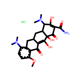 COc1ccc(N(C)C)c2c1C(=O)C1=C(O)C3(O)C(=O)C(C(N)=O)=C(O)C(N(C)C)C3CC1C2.Cl